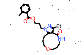 CCc1nn(CCCOC(=O)c2ccccc2C)c2c1C(=O)NCCCOCCC2